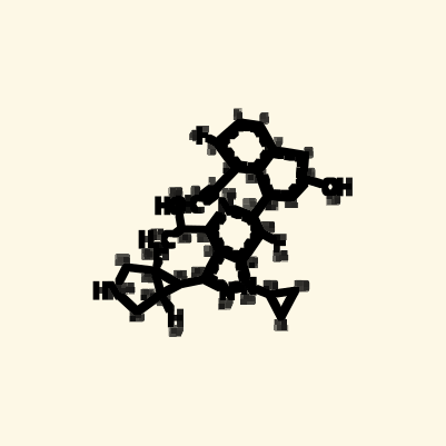 C#Cc1c(F)ccc2cc(O)cc(-c3nc(C(C)O)c4c(C5[C@H]6CNC[C@@H]56)nn(C5CC5)c4c3F)c12